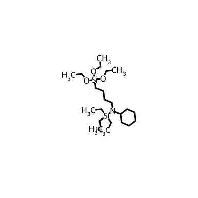 CCO[Si](CCCCN(C1CCCCC1)[Si](CC)(CC)CC)(OCC)OCC